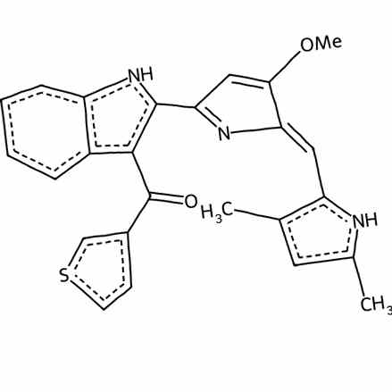 COC1=CC(c2[nH]c3ccccc3c2C(=O)c2ccsc2)=NC1=Cc1[nH]c(C)cc1C